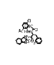 CC(=O)c1ccc(Cl)cc1NN(C(=O)C=O)C(Cc1ccccc1)C(=O)NC1(C(=O)O)Cc2ccccc2N1